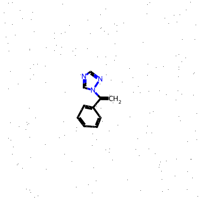 C=C(c1ccccc1)n1cncn1